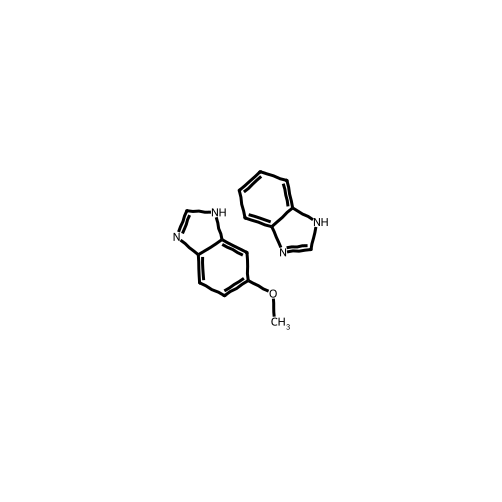 COc1ccc2nc[nH]c2c1.c1ccc2[nH]cnc2c1